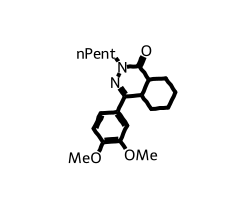 CCCCCN1N=C(c2ccc(OC)c(OC)c2)C2CCCCC2C1=O